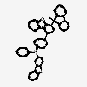 CC1(c2ccc(-c3ccc(N(c4ccccc4)c4ccc5oc6ccccc6c5c4)cc3)c3c2oc2ccccc23)c2ccccc2-c2ccccc21